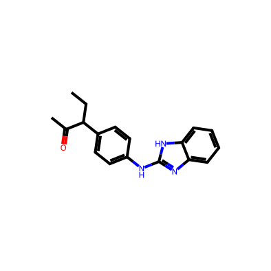 CCC(C(C)=O)c1ccc(Nc2nc3ccccc3[nH]2)cc1